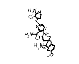 COc1ccc2c(c1)[C@@H](N)C1(CCN(c3ncc(Sc4ccnc(N)c4Cl)nc3C(N)=O)CC1)C2